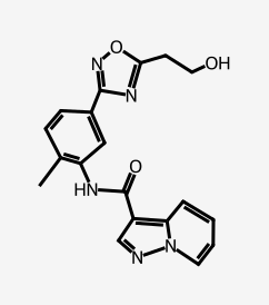 Cc1ccc(-c2noc(CCO)n2)cc1NC(=O)c1cnn2ccccc12